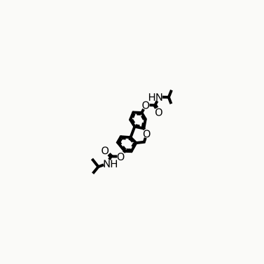 CC(C)NC(=O)Oc1ccc2c(c1)COc1cc(OC(=O)NC(C)C)ccc1-2